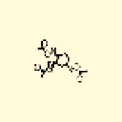 CC(=O)O/N=C1/CC/C(=N\OC(C)=O)C/C1=N\OC(C)=O